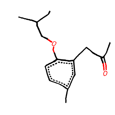 CC(=O)Cc1cc(C)ccc1OCC(C)C